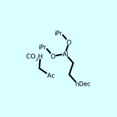 CC(=O)CC(=O)O.CCCCCCCCCCC[CH2][Al]([O]C(C)C)[O]C(C)C